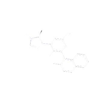 Cc1c(N2C=CN(C)[C@H]2C)cc(C(C)(C)C)cc1-[n+]1c(C)ccc2ccccc21